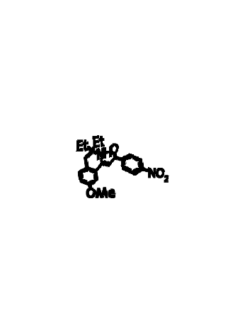 CCC1(CC)Cc2ccc(OC)cc2/C(=C/C(=O)c2ccc([N+](=O)[O-])cc2)N1